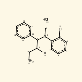 CN(c1ccccc1Cl)C(c1ccccc1)C(O)CN.Cl